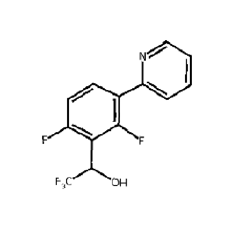 OC(c1c(F)ccc(-c2ccccn2)c1F)C(F)(F)F